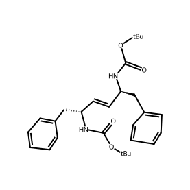 CC(C)(C)OC(=O)N[C@H](/C=C/[C@@H](Cc1ccccc1)NC(=O)OC(C)(C)C)Cc1ccccc1